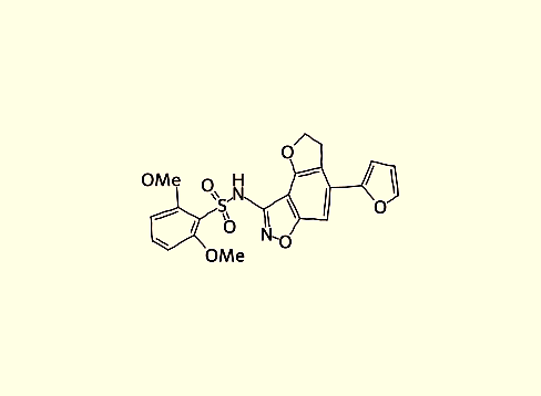 COc1cccc(OC)c1S(=O)(=O)Nc1noc2cc(-c3ccco3)c3c(c12)OCC3